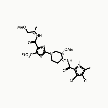 CCOC(=O)c1sc(N2CC[C@@H](NC(=O)c3[nH]c(C)c(Cl)c3Cl)[C@@H](OC)C2)nc1C(=O)N[C@H](C)COC